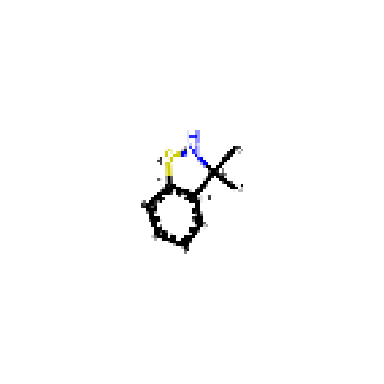 CC1(C)NSc2ccccc21